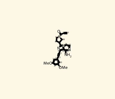 C#CC(=O)N1CCC(c2nc(C#Cc3cc(OC)cc(OC)c3)c3c(N)nccn23)C1